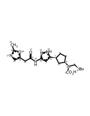 CC[C@H](C)CN(C(=O)O)[C@@H]1CC[C@H](c2cc(NC(=O)Cc3cnc(C)o3)n[nH]2)C1